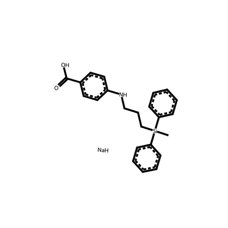 C[Si](CCCNc1ccc(C(=O)O)cc1)(c1ccccc1)c1ccccc1.[NaH]